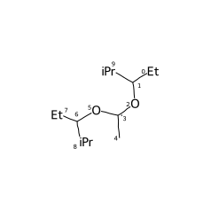 CCC(O[C](C)OC(CC)C(C)C)C(C)C